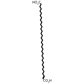 O=C(O)C=CCCCCCCCCCCCCCCCCCCCCCCCCCCCCCCCCC(=O)O